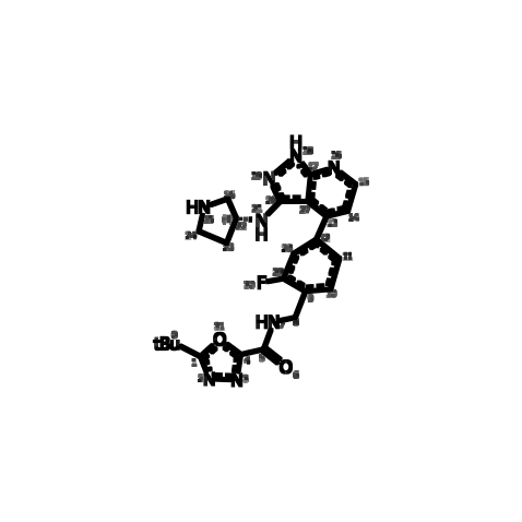 CC(C)(C)c1nnc(C(=O)NCc2ccc(-c3ccnc4[nH]nc(N[C@@H]5CCNC5)c34)cc2F)o1